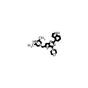 CC1CN(Cc2cc3nc(-c4cccc5[nH]ccc45)nc(N4CCOCC4)c3s2)CC(C)N1